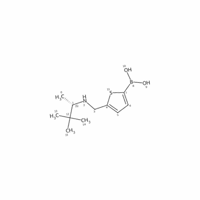 C[C@H](NCc1ccc(B(O)O)s1)C(C)(C)C